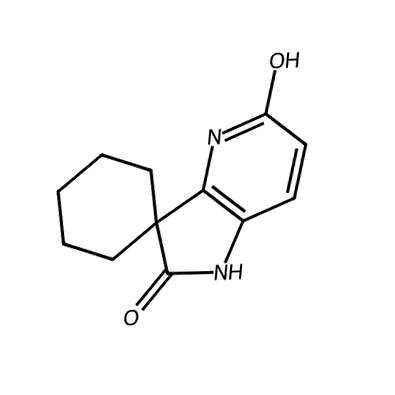 O=C1Nc2ccc(O)nc2C12CCCCC2